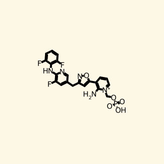 Nc1c(-c2cc(Cc3cnc(Nc4c(F)cccc4F)c(F)c3)no2)ccc[n+]1COP(=O)([O-])O